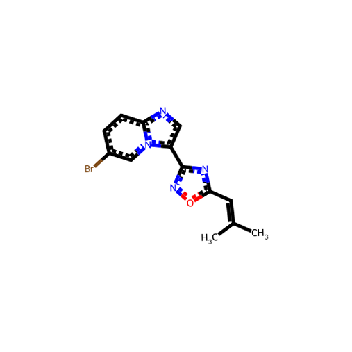 CC(C)=Cc1nc(-c2cnc3ccc(Br)cn23)no1